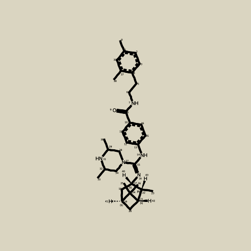 Cc1ccc(CCNC(=O)c2ccc(NC(=N[C@H]3C[C@@H]4C[C@@H]([C@H]3C)C4(C)C)N3CC(C)NC(C)C3)cc2)c(C)c1